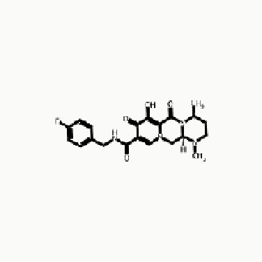 C[C@H]1CCN(C)[C@@H]2Cn3cc(C(=O)NCc4ccc(F)cc4)c(=O)c(O)c3C(=O)N12